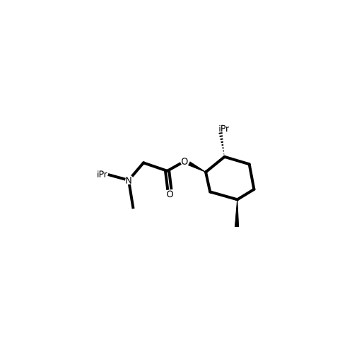 CC(C)[C@@H]1CC[C@@H](C)C[C@H]1OC(=O)CN(C)C(C)C